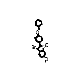 COc1ccc2c(Br)c(-c3ccc(OCc4ccccc4)cc3)[s+]([O-])c2c1